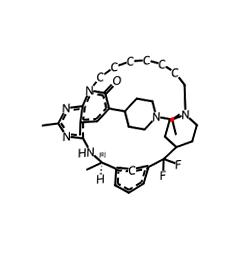 Cc1nc2c3cc(C4CCN(C(C)C)CC4)c(=O)n(c3n1)CCCCCCCN1CCC(CC1)C(F)(F)c1cccc(c1)[C@@H](C)N2